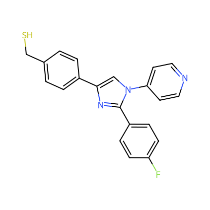 Fc1ccc(-c2nc(-c3ccc(CS)cc3)cn2-c2ccncc2)cc1